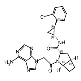 Nc1ncnc2c1ncn2CC(=O)N1[C@@H]2CC[C@@H]2C[C@H]1C(=O)N[C@@H]1C[C@H]1c1ccccc1Cl